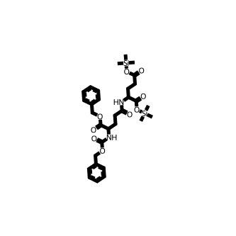 C[Si](C)(C)OC(=O)CCC(NC(=O)CCC(NC(=O)OCc1ccccc1)C(=O)OCc1ccccc1)C(=O)O[Si](C)(C)C